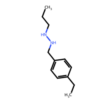 CCCNNCc1ccc(CC)cc1